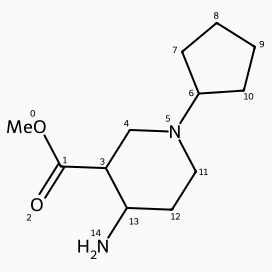 COC(=O)C1CN(C2CCCC2)CCC1N